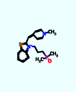 CN1C=CC(=Cc2sc3ccccc3[n+]2CCCP(C)(C)=O)C=C1